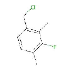 Cc1ccc(CCl)c(C)c1F